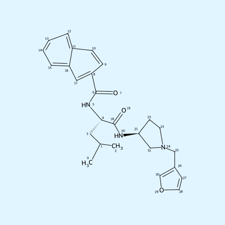 CC(C)C[C@H](NC(=O)c1ccc2ccccc2c1)C(=O)N[C@H]1CCN(Cc2ccoc2)C1